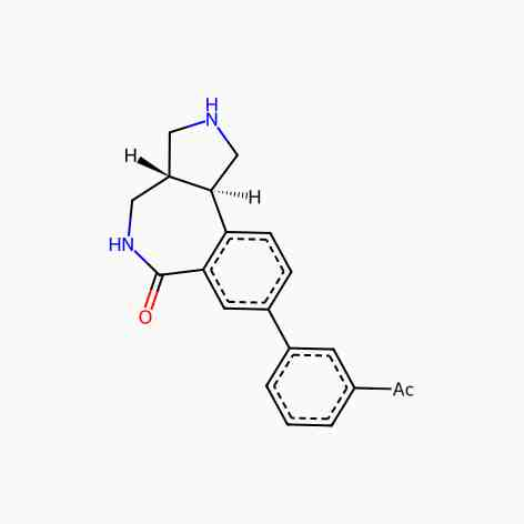 CC(=O)c1cccc(-c2ccc3c(c2)C(=O)NC[C@@H]2CNC[C@@H]32)c1